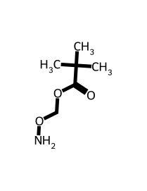 CC(C)(C)C(=O)OCON